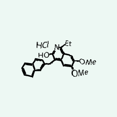 CCc1nc(O)c(Cc2ccc3ccccc3c2)c2cc(OC)c(OC)cc12.Cl